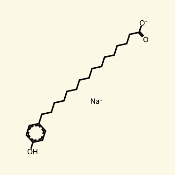 O=C([O-])CCCCCCCCCCCCCCCc1ccc(O)cc1.[Na+]